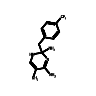 NC1=CNC(N)(Cc2ccc(C(F)(F)F)cc2)N=C1N